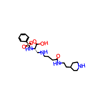 O=C(CCCNC[C@H](NS(=O)(=O)c1ccccc1)C(=O)O)NCCC1CCNCC1